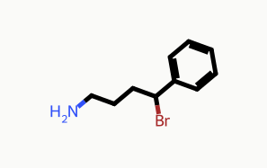 NCCCC(Br)c1ccccc1